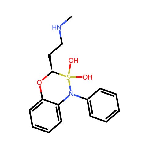 CNCC[C@@H]1Oc2ccccc2N(c2ccccc2)S1(O)O